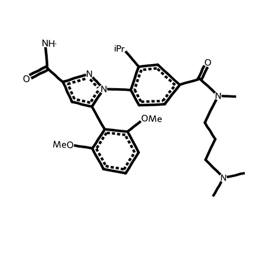 COc1cccc(OC)c1-c1cc(C([NH])=O)nn1-c1ccc(C(=O)N(C)CCCN(C)C)cc1C(C)C